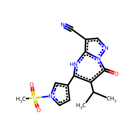 CC(C)c1c(-c2ccn(S(C)(=O)=O)c2)[nH]c2c(C#N)cnn2c1=O